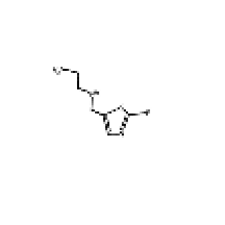 NCCNCc1cnc(F)s1